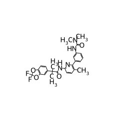 Cc1ccc(NC(=O)C(C)(C)c2ccc3c(c2)OC(F)(F)O3)nc1-c1cccc(NC(=O)N(C)C)c1